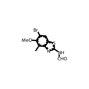 COc1c(Br)cc2sc(NC=O)nc2c1C